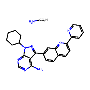 NC(=O)O.Nc1ncnc2c1c(-c1ccc3ccc(-c4ccccn4)nc3c1)nn2C1CCCCC1